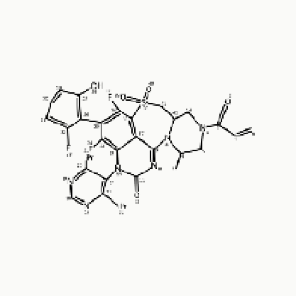 C=CC(=O)N1CC(C)N2c3nc(=O)n(-c4c(C(C)C)ncnc4C(C)C)c4c(F)c(-c5c(O)cccc5F)c(F)c(c34)S(=O)(=O)CC2C1